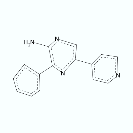 Nc1ncc(-c2ccncc2)nc1-c1ccccc1